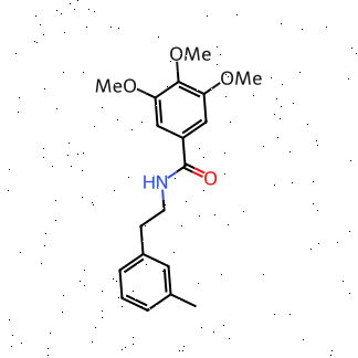 COc1cc(C(=O)NCCc2cccc(C)c2)cc(OC)c1OC